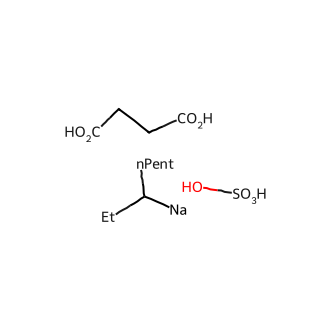 CCCCC[CH]([Na])CC.O=C(O)CCC(=O)O.O=S(=O)(O)O